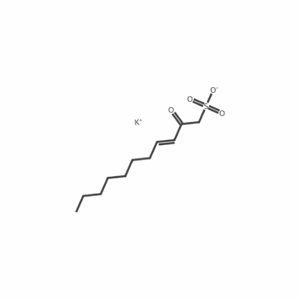 CCCCCCCC=CC(=O)CS(=O)(=O)[O-].[K+]